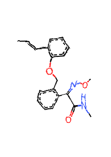 CC=Cc1ccccc1OCc1ccccc1C(=NOC)C(=O)NC